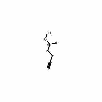 C#CCC[C@H](I)OP